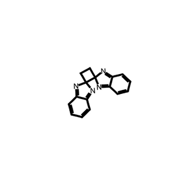 c1ccc2c(c1)=NC1(CCC13N=c1ccccc1=N3)N=2